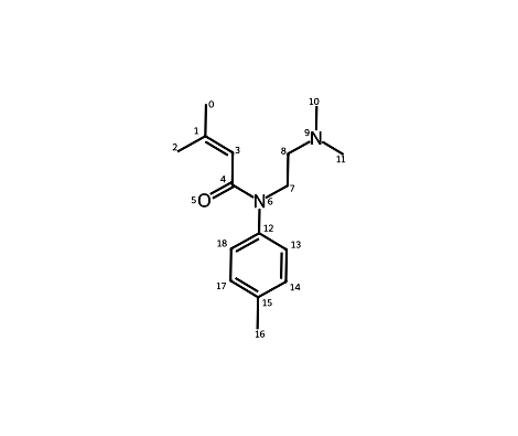 CC(C)=CC(=O)N(CCN(C)C)c1ccc(C)cc1